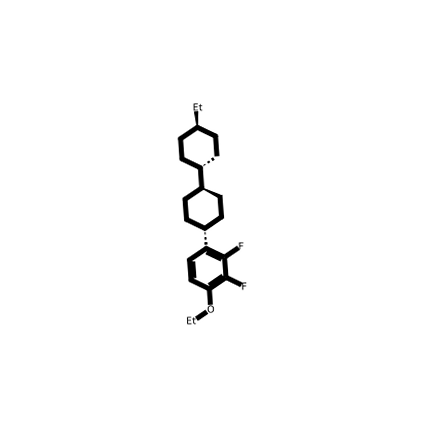 CCOc1ccc([C@H]2CC[C@H]([C@H]3CC[C@H](CC)CC3)CC2)c(F)c1F